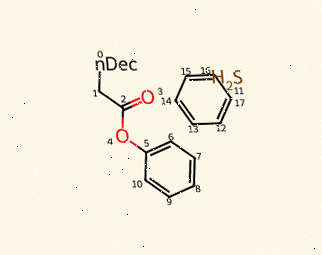 CCCCCCCCCCCC(=O)Oc1ccccc1.S.c1ccccc1